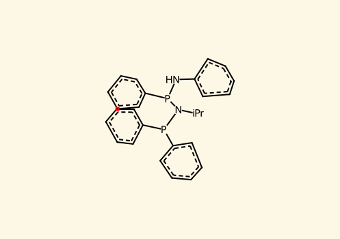 CC(C)N(P(Nc1ccccc1)c1ccccc1)P(c1ccccc1)c1ccccc1